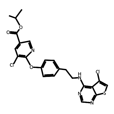 CC(C)OC(=O)c1cnc(Oc2ccc(CCNc3ncnc4scc(Cl)c34)cc2)c(Cl)c1